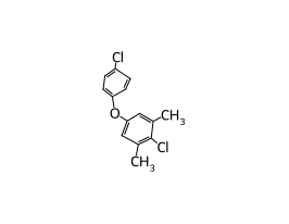 Cc1cc(Oc2ccc(Cl)cc2)cc(C)c1Cl